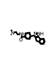 CN(C)CCNC(=O)c1ccc(-c2n[nH]c3c2Cc2ccccc2-3)cc1